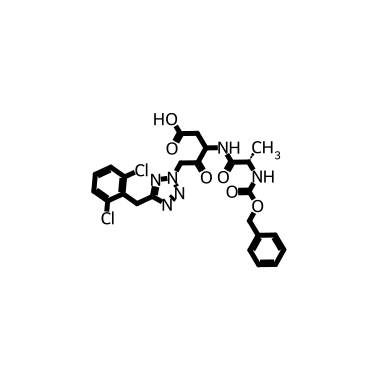 C[C@H](NC(=O)OCc1ccccc1)C(=O)NC(CC(=O)O)C(=O)Cn1nnc(Cc2c(Cl)cccc2Cl)n1